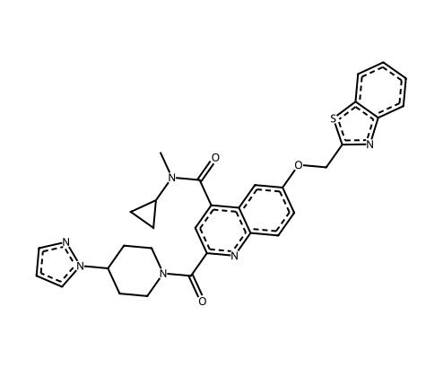 CN(C(=O)c1cc(C(=O)N2CCC(n3cccn3)CC2)nc2ccc(OCc3nc4ccccc4s3)cc12)C1CC1